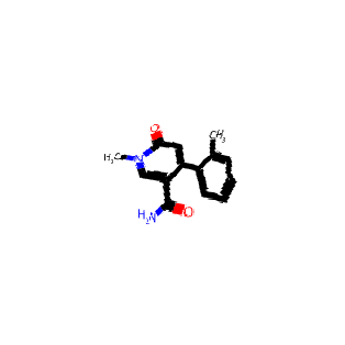 Cc1ccccc1-c1cc(=O)n(C)cc1C(N)=O